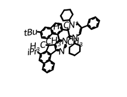 CC(C)c1cc2ccccc2c2c1C(C)(C)c1c-2nc[n+]2c1-c1c(ccc3cc(C(C)(C)C)ccc13)C1(C)[N+](C3CCCCC3)=CC(c3ccccc3)=CN(C3CCCCC3)C21C